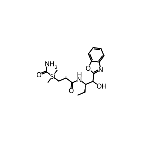 CC[C@@H](NC(=O)[CH]C[Si](C)(C)C(N)=O)C(O)c1nc2ccccc2o1